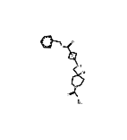 CC(C)(C)OC(=O)N1CCC(O)(CNC23CC(C(=O)OCc4ccccc4)(C2)C3)CC1